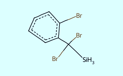 [SiH3]C(Br)(Br)c1ccccc1Br